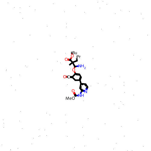 COC(=O)Nc1cc(C2=CC=C(OC(N)C(C)(CC(C)C)C(=O)OC(C)(C)C)C(=C=O)C2)ccn1